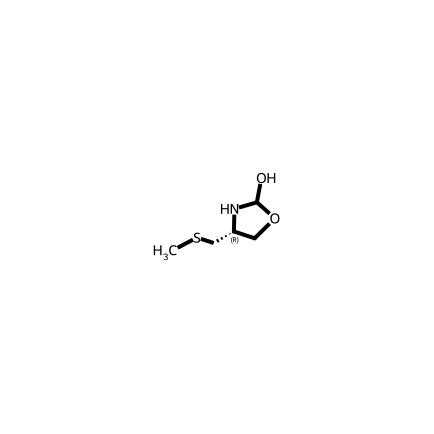 CSC[C@H]1COC(O)N1